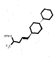 CCCCCC(CC=C[C@H]1CC[C@H](C2CCCCC2)CC1)C(F)(F)F